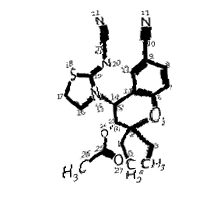 CCC1(CC)Oc2ccc(C#N)cc2[C@H](N2CCSC2=NC#N)[C@H]1OC(C)=O